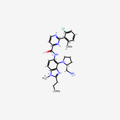 COCCc1nc2c(N3CCC[C@H]3CN)c(NC(=O)c3ccnc(-c4c(F)cccc4OC)n3)ccc2n1C